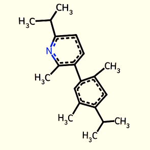 Cc1cc(C(C)C)c(C)cc1-c1ccc(C(C)C)nc1C